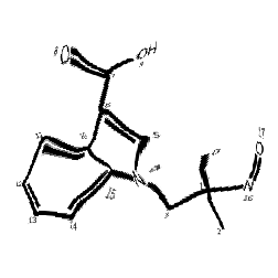 CC(C)(Cn1cc(C(=O)O)c2ccccc21)N=O